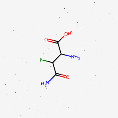 NC(=O)C(F)C(N)C(=O)O